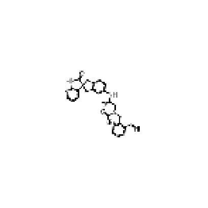 CC(C)(C)C(=O)N(CC(=O)Nc1ccc2c(c1)CC1(C2)C(=O)Nc2ncccc21)Cc1ccccc1C=N